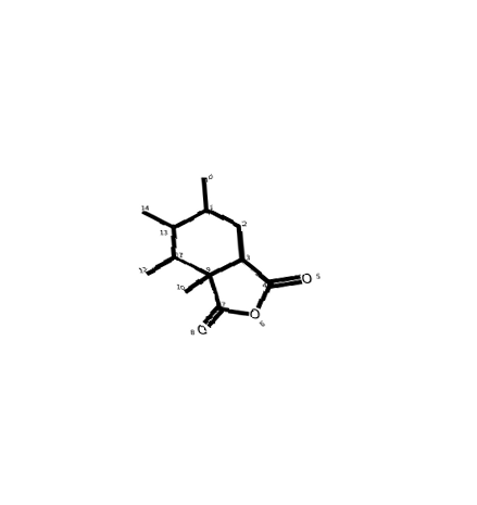 CC1CC2C(=O)OC(=O)C2(C)C(C)C1C